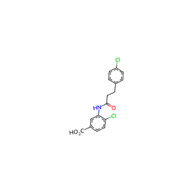 O=C(CCc1ccc(Cl)cc1)Nc1cc(C(=O)O)ccc1Cl